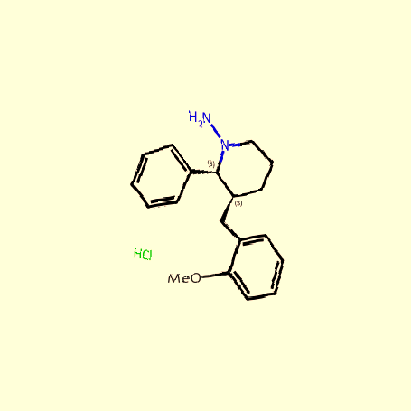 COc1ccccc1C[C@@H]1CCCN(N)[C@@H]1c1ccccc1.Cl